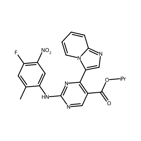 Cc1cc(F)c([N+](=O)[O-])cc1Nc1ncc(C(=O)OC(C)C)c(-c2cnc3ccccn23)n1